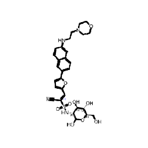 N#C/C(=C\c1ccc(-c2ccc3cc(NCCN4CCOCC4)ccc3c2)o1)S(=O)(=O)N[C@H]1C(O)O[C@H](CO)[C@@H](O)[C@@H]1O